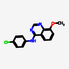 COc1cccc2c(Nc3ccc(Cl)cc3)ncnc12